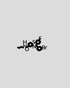 CCCCNC(=O)c1ccc2c(c1)N=C(c1cccc(Br)c1)C1C=CC(F)=CC1S2